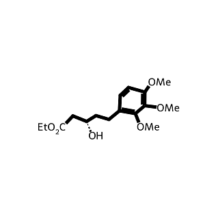 CCOC(=O)C[C@@H](O)CCc1ccc(OC)c(OC)c1OC